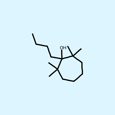 CCCCC1(O)C(C)(C)CCCCC1(C)C